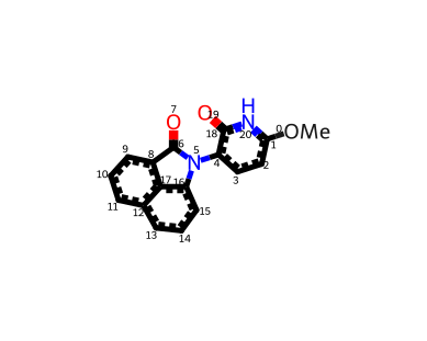 COc1ccc(N2C(=O)c3cccc4cccc2c34)c(=O)[nH]1